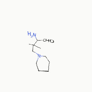 CC(C)(CN1CCCCC1)C(N)C=O